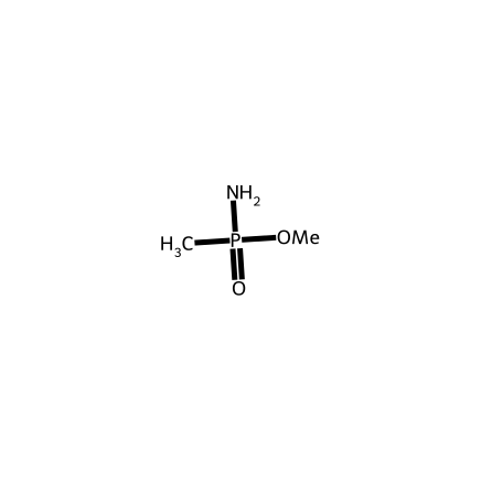 COP(C)(N)=O